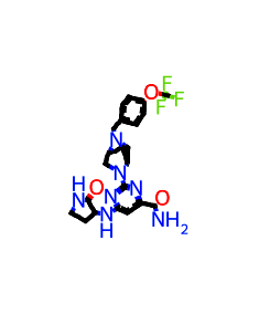 NC(=O)c1cc(NC2CCNC2=O)nc(N2CC3CC2CN3Cc2ccc(OC(F)(F)F)cc2)n1